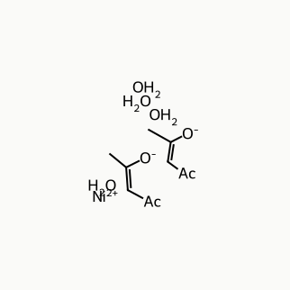 CC(=O)/C=C(/C)[O-].CC(=O)/C=C(/C)[O-].O.O.O.O.[Ni+2]